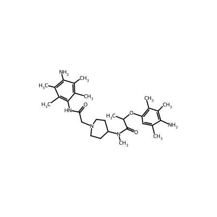 Cc1cc(OC(C)C(=O)N(C)C2CCN(CC(=O)Nc3c(C)c(C)c(N)c(C)c3C)CC2)c(C)c(C)c1N